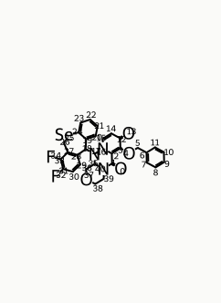 O=C1c2c(OCc3ccccc3)c(=O)ccn2N(C2c3ccccc3[Se]Cc3c2ccc(F)c3F)C2COCCN12